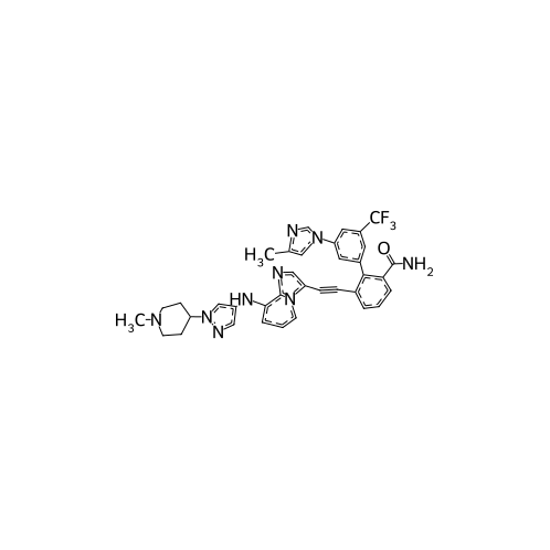 Cc1cn(-c2cc(-c3c(C#Cc4cnc5c(Nc6cnn(C7CCN(C)CC7)c6)cccn45)cccc3C(N)=O)cc(C(F)(F)F)c2)cn1